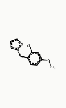 COc1ccc(Cn2cccn2)c(Cl)c1